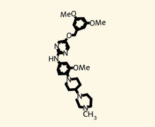 COc1cc(COc2cnc(Nc3ccc(N4CCC(N5CCCN(C)CC5)CC4)c(OC)c3)nc2)cc(OC)c1